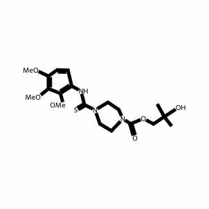 COc1ccc(NC(=S)N2CCN(C(=O)OCC(C)(C)O)CC2)c(OC)c1OC